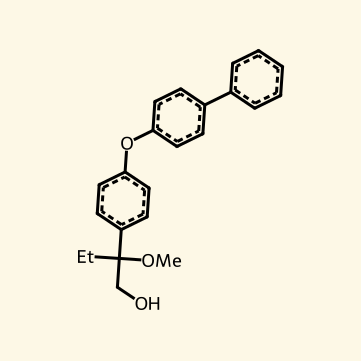 CCC(CO)(OC)c1ccc(Oc2ccc(-c3ccccc3)cc2)cc1